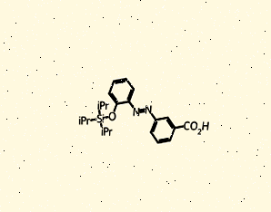 CC(C)[Si](Oc1ccccc1N=Nc1cccc(C(=O)O)c1)(C(C)C)C(C)C